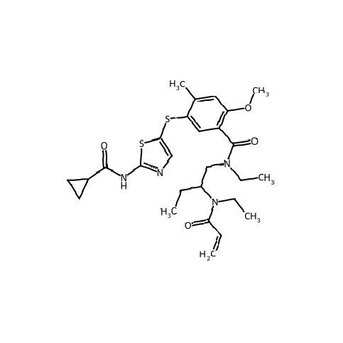 C=CC(=O)N(CC)C(CC)CN(CC)C(=O)c1cc(Sc2cnc(NC(=O)C3CC3)s2)c(C)cc1OC